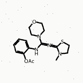 CC(=O)Oc1ccccc1NC(=[N+]=C1SCCN1C)N1CCOCC1